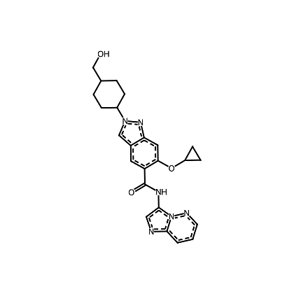 O=C(Nc1cnc2cccnn12)c1cc2cn(C3CCC(CO)CC3)nc2cc1OC1CC1